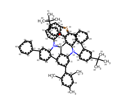 Cc1cc(C)c(-c2cc3c4c(c2)N(c2ccc(C(C)(C)C)cc2-c2ccccc2)c2ccc5sc6ccccc6c5c2B4N(c2ccc(C(C)(C)C)cc2)c2cc(-c4ccccc4)ccc2-3)c(C)c1